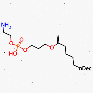 C=C(CCCCCCCCCCCCCC)OCCCOP(=O)(O)OCCN